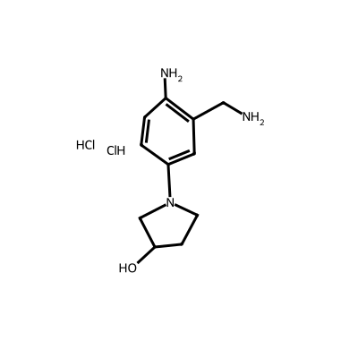 Cl.Cl.NCc1cc(N2CCC(O)C2)ccc1N